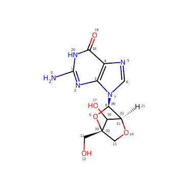 Nc1nc2c(ncn2[C@@H]2O[C@@]3(CO)CO[C@H]2C3O)c(=O)[nH]1